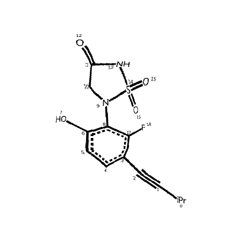 CC(C)C#Cc1ccc(O)c(N2CC(=O)NS2(=O)=O)c1F